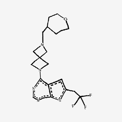 FC(F)(F)Cc1cc2c(N3CC4(CN(CC5CCOCC5)C4)C3)ncnc2s1